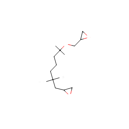 CC(C)(CCCC(C)(C)OCC1CO1)CC1CO1